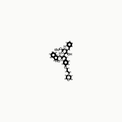 CC(C)(C)OC(=O)N[C@@H](Cc1ccccc1)[C@@H](O)C[C@@H](Cc1ccc(OCCCN2CCOCC2)cc1)C(=O)N[C@H]1c2ccccc2C[C@H]1O